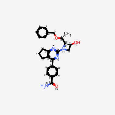 C[C@@H](OCc1ccccc1)[C@H]1C(O)CN1c1nc2c(c(-c3ccc(C(N)=O)cc3)n1)CCC2